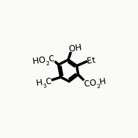 CCc1c(C(=O)O)cc(C)c(C(=O)O)c1O